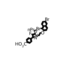 CCCOc1c(F)c(-c2ccc(C(=O)O)cc2)nn1CCOc1ccc2cc(Br)ccc2c1Br